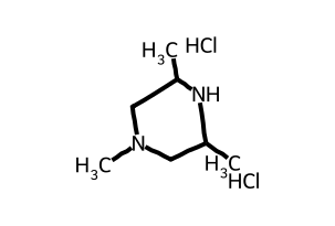 CC1CN(C)CC(C)N1.Cl.Cl